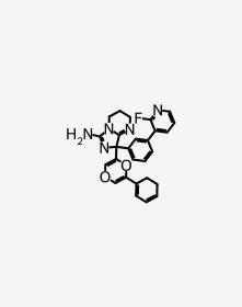 NC1=NC(C2=COC=C(C3=CC=CCC3)O2)(c2cccc(-c3cccnc3F)c2)C2=NCCCN12